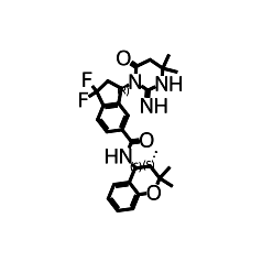 C[C@H]1[C@H](NC(=O)c2ccc3c(c2)[C@H](N2C(=N)NC(C)(C)CC2=O)CC3(F)F)c2ccccc2OC1(C)C